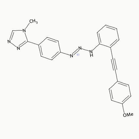 COc1ccc(C#Cc2ccccc2N/N=N/c2ccc(-c3nncn3C)cc2)cc1